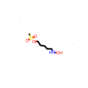 CS(=O)(=O)OCCCCCNO